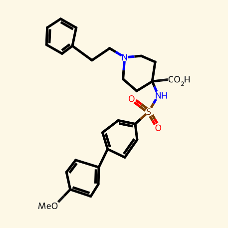 COc1ccc(-c2ccc(S(=O)(=O)NC3(C(=O)O)CCN(CCc4ccccc4)CC3)cc2)cc1